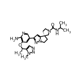 CC(C)NC(=O)N1CC[C@@]2(CCn3nc(-c4cnc(N)c(O[C@H](C)c5cnnn5C)c4)cc32)C1